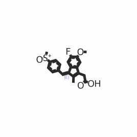 COc1cc2c(cc1F)/C(=C\c1ccc([S+](C)[O-])cc1)C(C)=C2CC(=O)O